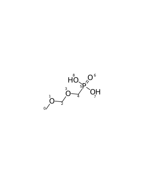 COCOCP(=O)(O)O